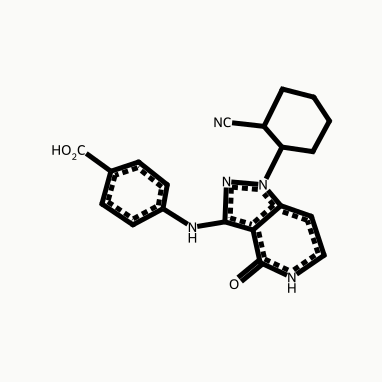 N#CC1CCCCC1n1nc(Nc2ccc(C(=O)O)cc2)c2c(=O)[nH]ccc21